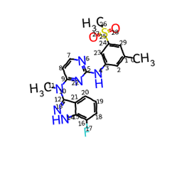 Cc1cc(Nc2nccc(N(C)c3n[nH]c4c(F)cccc34)n2)cc(S(C)(=O)=O)c1